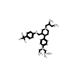 CCC(C)CN1CCC(c2ccc(N(CC)CC)cc2)C(COc2ccc(C(F)(F)F)cc2)C1.Cl